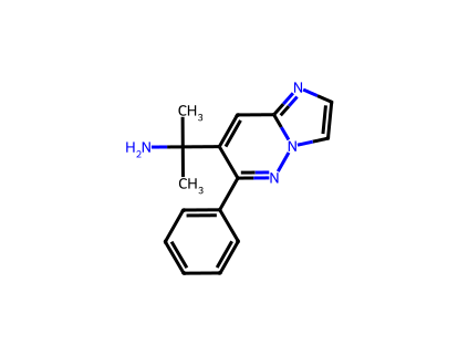 CC(C)(N)c1cc2nccn2nc1-c1ccccc1